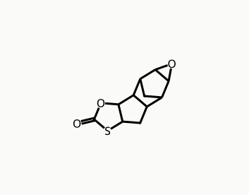 O=C1OC2C(CC3C4CC(C5OC45)C32)S1